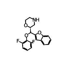 Fc1cccc(F)c1OC(c1cc2ccccc2o1)[C@@H]1CNCCO1